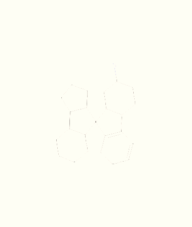 NC1CCC2C3=C(CCC=C3)C3(C2C1)C1CCCCC1C1CCCC13